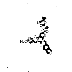 Cn1cc(Cn2c(=O)c3cc(S(=O)(=O)NC(=O)OC4(C#N)CC4)sc3n(Cc3ccc4c(c3)COC4)c2=O)cn1